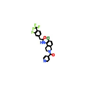 O=C(Cc1ccc(C(F)(F)F)c(F)c1)Nc1c(Cl)ccc2c1CCN(C(=O)c1ccncc1)C2